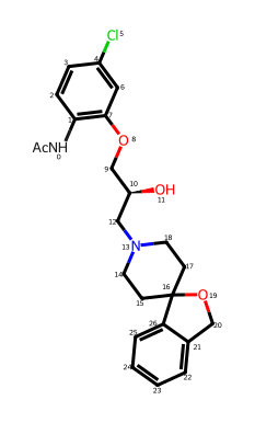 CC(=O)Nc1ccc(Cl)cc1OC[C@@H](O)CN1CCC2(CC1)OCc1ccccc12